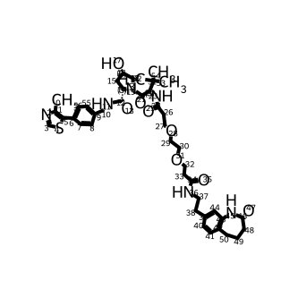 Cc1ncsc1-c1ccc(CNC(=O)[C@@H]2C[C@@H](O)CN2C(=O)[C@@H](NC(=O)CCOCCOCCC(=O)NCCc2ccc3c(c2)NC(=O)CCC3)C(C)(C)C)cc1